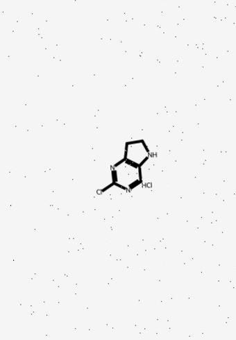 Cl.Clc1ncc2c(n1)CCN2